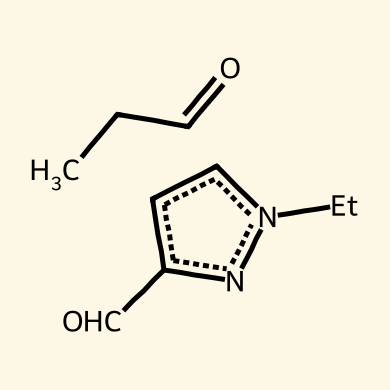 CCC=O.CCn1ccc(C=O)n1